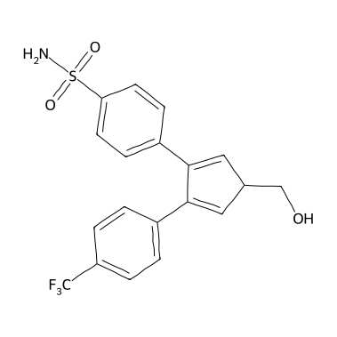 NS(=O)(=O)c1ccc(C2=CC(CO)C=C2c2ccc(C(F)(F)F)cc2)cc1